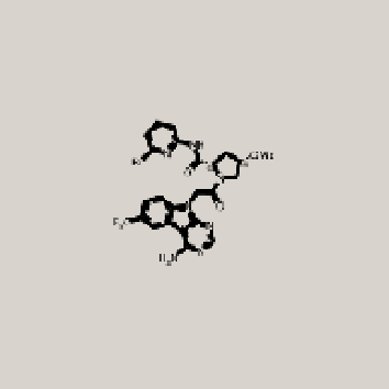 CO[C@H]1C[C@@H](C(=O)Nc2cccc(Br)n2)N(C(=O)Cn2c3ccc(C(F)(F)F)cc3c3c(N)ncnc32)C1